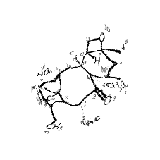 CC(=O)O[C@H]1C(=O)[C@]2(C)C(O)C[C@H]3OC[C@H]3[C@H]2C[C@]2(O)CCC(C)C1C2(C)C